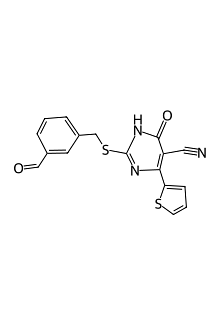 N#Cc1c(-c2cccs2)nc(SCc2cccc(C=O)c2)[nH]c1=O